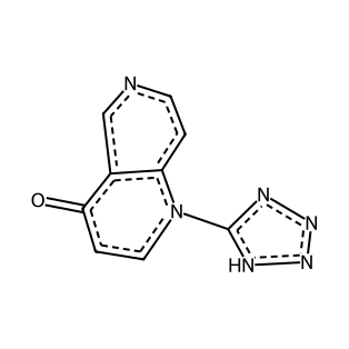 O=c1ccn(-c2nnn[nH]2)c2ccncc12